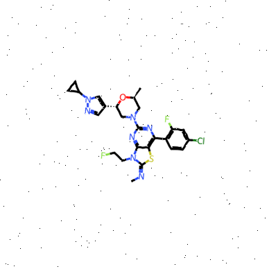 C/N=c1/sc2c(-c3ccc(Cl)cc3F)nc(N3C[C@H](C)O[C@@H](c4cnn(C5CC5)c4)C3)nc2n1CCF